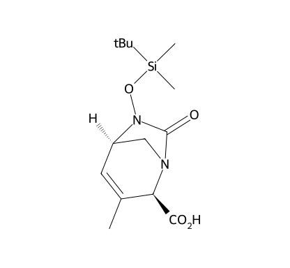 CC1=C[C@@H]2CN(C(=O)N2O[Si](C)(C)C(C)(C)C)[C@H]1C(=O)O